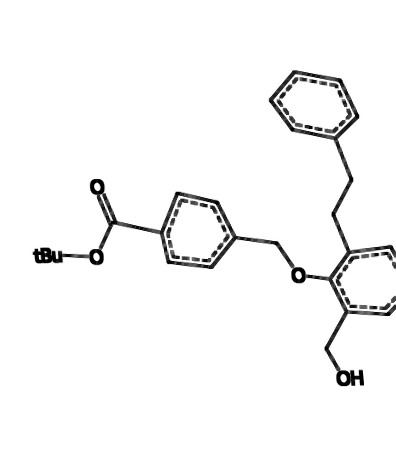 CC(C)(C)OC(=O)c1ccc(COc2c(CO)cccc2CCc2ccccc2)cc1